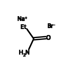 CCC(N)=O.[Br-].[Na+]